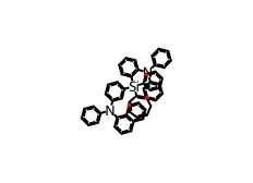 C1=CCC=C([Si](c2ccccc2)(c2cccc(N(c3ccccc3)c3cccc4ccccc34)c2)c2ccccc2N(c2ccccc2)c2ccccc2)C=C1